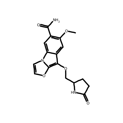 COc1cc2c(OCC3CCC(=O)N3)c3occn3c2cc1C(N)=O